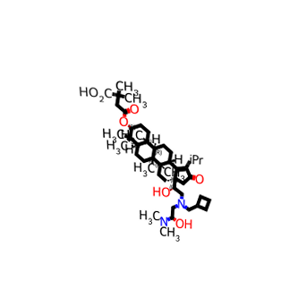 CC(C)C1=C2[C@H]3CC[C@@H]4[C@@]5(C)CC[C@H](OC(=O)CC(C)(C)C(=O)O)C(C)(C)[C@@H]5CC[C@@]4(C)[C@]3(C)CC[C@@]2([C@@H](O)CN(CC2CCC2)CC(O)N(C)C)CC1=O